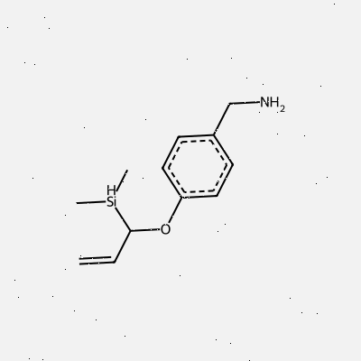 C=CC(Oc1ccc(CN)cc1)[SiH](C)C